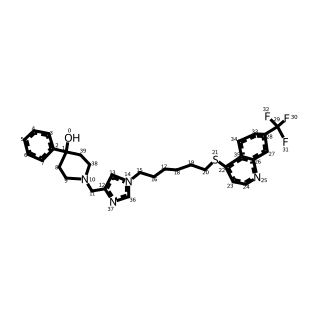 OC1(c2ccccc2)CCN(Cc2cn(CCCCCCSc3ccnc4cc(C(F)(F)F)ccc34)cn2)CC1